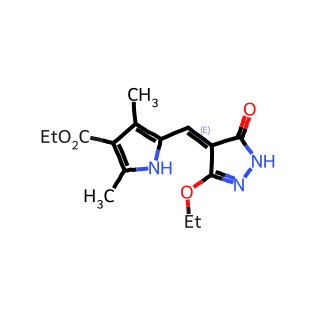 CCOC(=O)c1c(C)[nH]c(/C=C2/C(=O)NN=C2OCC)c1C